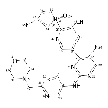 N#Cc1cc(-c2nc(Nc3ccc(CN4CCOCC4)nc3)ncc2F)cnc1[N@@+]1([O-])C=CC(F)=C1